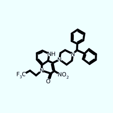 O=C1C([N+](=O)[O-])=C(N2CCN(C(c3ccccc3)c3ccccc3)CC2)C2NC=CC=C2N1CCC(F)(F)F